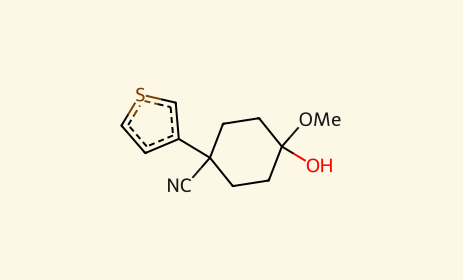 COC1(O)CCC(C#N)(c2ccsc2)CC1